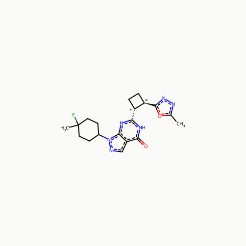 Cc1nnc([C@@H]2CC[C@H]2c2nc3c(cnn3C3CCC(C)(F)CC3)c(=O)[nH]2)o1